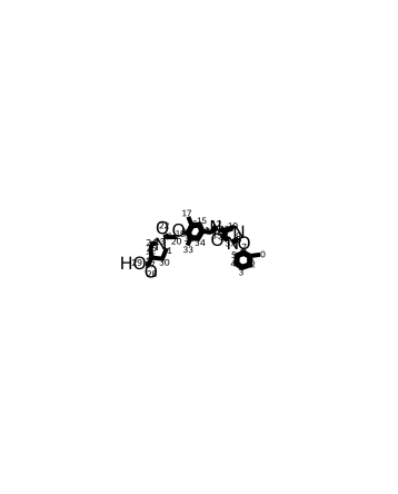 Cc1ccccc1Oc1ncc2nc(-c3cc(C)c(OCC(=O)N4CCC(C(=O)O)CC4)c(C)c3)oc2n1